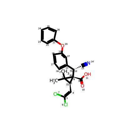 CC1(C)[C@H](C=C(Cl)Cl)[C@@]1(C(=O)O)[C@@H](C#N)c1cccc(Oc2ccccc2)c1